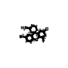 NC1=NCC[C@]2(S1)c1cc(Br)ccc1Oc1c2cc(Cl)nc1F